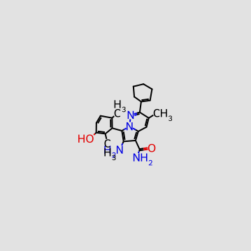 Cc1cc2c(C(N)=O)c(N)c(-c3c(C)ccc(O)c3C)n2nc1C1=CCCCC1